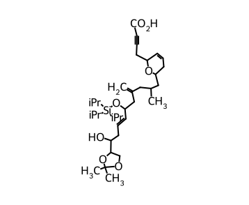 C=C(CC(C)CC1CC=CC(CC#CC(=O)O)O1)CC(C=CCC(O)C1COC(C)(C)O1)O[Si](C(C)C)(C(C)C)C(C)C